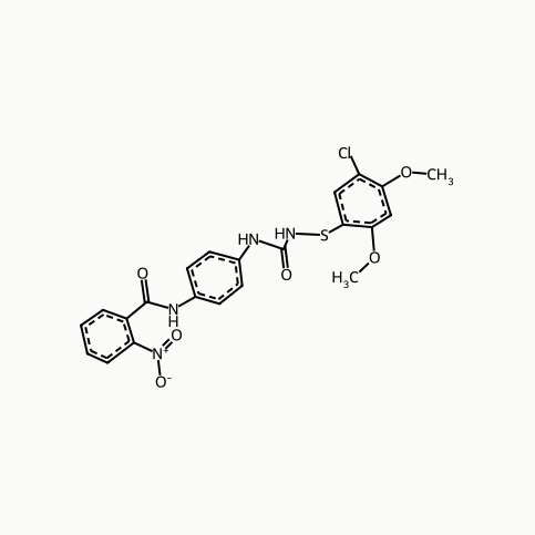 COc1cc(OC)c(SNC(=O)Nc2ccc(NC(=O)c3ccccc3[N+](=O)[O-])cc2)cc1Cl